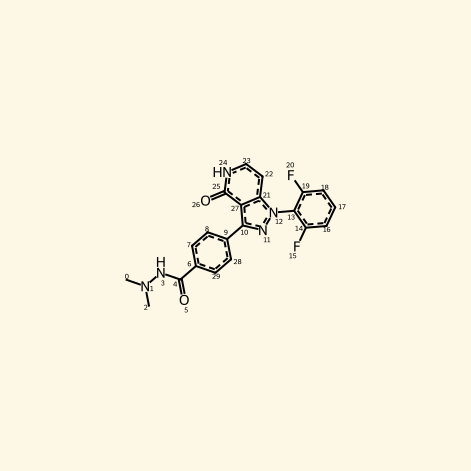 CN(C)NC(=O)c1ccc(-c2nn(-c3c(F)cccc3F)c3cc[nH]c(=O)c23)cc1